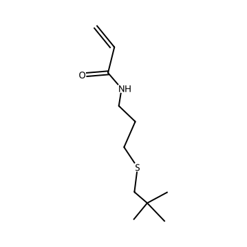 C=CC(=O)NCCCSCC(C)(C)C